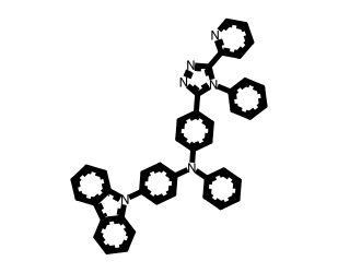 c1ccc(N(c2ccc(-c3nnc(-c4ccccn4)n3-c3ccccc3)cc2)c2ccc(-n3c4ccccc4c4ccccc43)cc2)cc1